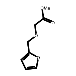 COC(=O)COCc1cc[c]o1